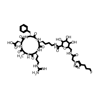 C[C@@H]1NC(=O)[C@H](CCCNC(=N)N)NC(=O)[C@H](CCCCNC(=O)C2OC(CNC(=O)Cn3cc(CCCF)nn3)C(O)C(O)C2O)NC(=O)[C@@H](Cc2ccccc2)NC(=O)[C@H](CC(=O)O)NC1=O